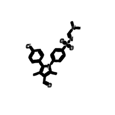 Cc1c(C=O)c(C)n(-c2ccc(S(=O)(=O)/N=C/N(C)C)cc2)c1-c1ccc(Cl)cc1